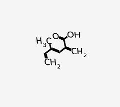 C=CC(C)=CC(=C)C(=O)O